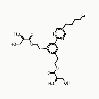 C=C(CO)C(=O)OCCc1cc(CCOC(=O)C(=C)CO)cc(-c2ncc(CCCCC)cn2)c1